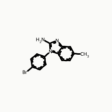 Cc1ccc2c(c1)nc(N)n2-c1ccc(Br)cc1